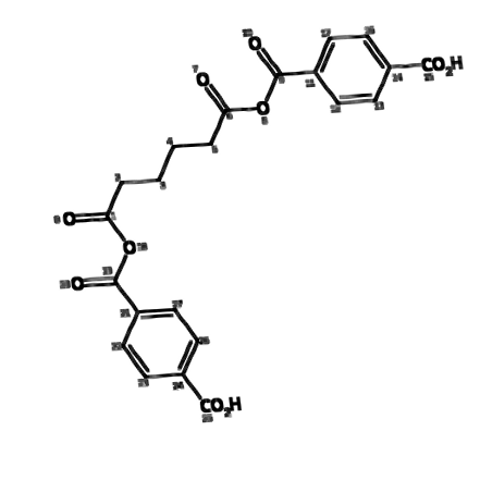 O=C(CCCCC(=O)OC(=O)c1ccc(C(=O)O)cc1)OC(=O)c1ccc(C(=O)O)cc1